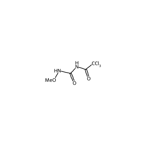 CONC(=O)NC(=O)C(Cl)(Cl)Cl